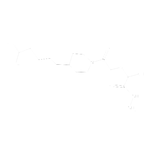 CC(C)CCCCC1CCN(C(=O)CSC(C)C(=O)NN)CC1